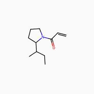 C=CC(=O)N1CCCC1C(C)CC